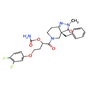 CN1N=C2CCN(C(=O)C(CCOc3ccc(F)c(F)c3)OC(N)=O)C[C@@]2(Cc2ccccc2)C1=O